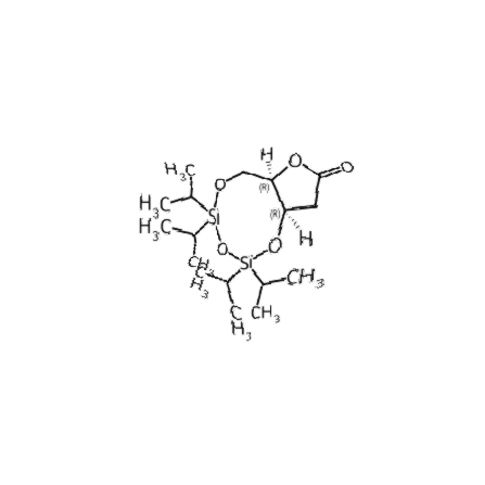 CC(C)[Si]1(C(C)C)OC[C@H]2OC(=O)C[C@H]2O[Si](C(C)C)(C(C)C)O1